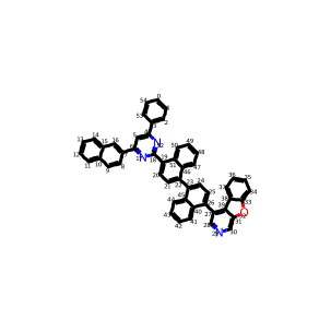 c1ccc(-c2cc(-c3ccc4ccccc4c3)nc(-c3ccc(-c4ccc(-c5cncc6oc7ccccc7c56)c5ccccc45)c4ccccc34)n2)cc1